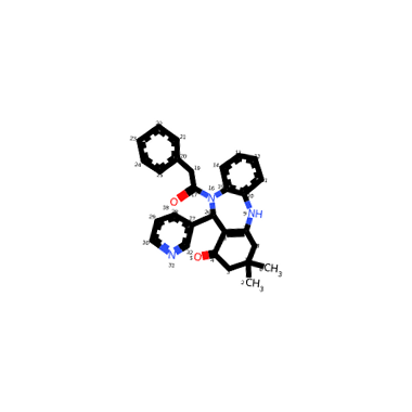 CC1(C)CC(=O)C2=C(C1)Nc1ccccc1N(C(=O)Cc1ccccc1)C2c1cccnc1